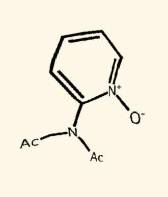 CC(=O)N(C(C)=O)c1cccc[n+]1[O-]